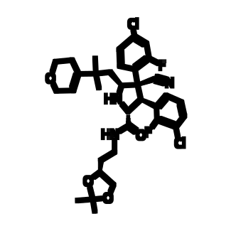 CC1(C)OC[C@H](CCNC(=O)[C@@H]2N[C@@H](CC(C)(C)C3=CCOCC3)[C@](C#N)(c3ccc(Cl)cc3F)[C@H]2c2cccc(Cl)c2F)O1